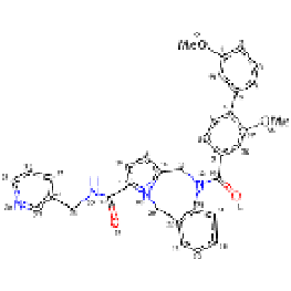 COc1cccc(-c2ccc(C(=O)N3Cc4ccc(C(=O)NCc5cccnc5)n4Cc4ccccc43)cc2OC)c1